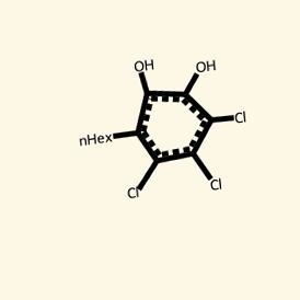 CCCCCCc1c(O)c(O)c(Cl)c(Cl)c1Cl